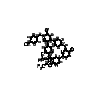 O=c1ccc(-c2cnc(OCC(F)(F)F)nc2)nn1Cc1ccc(-c2cc(=O)n(Cc3ccc(Cl)cc3)nc2-c2cnc(NCC(F)F)nc2)cc1